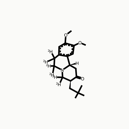 [2H]C1([2H])[C@H](CC(C)(C)C)C(=O)C[C@H]2c3cc(OC)c(OC)cc3C([2H])([2H])C([2H])([2H])N21